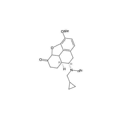 CCCN(CC1CC1)[C@H]1Cc2ccc(OC)c3c2C2C(O3)C(=O)CC[C@@H]21